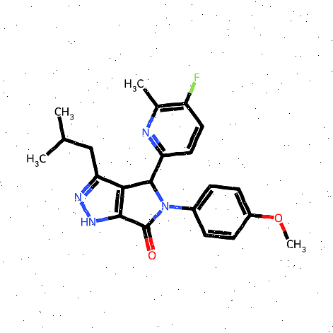 COc1ccc(N2C(=O)c3[nH]nc(CC(C)C)c3C2c2ccc(F)c(C)n2)cc1